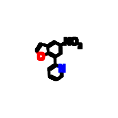 O=[N+]([O-])c1cc(-c2ccccn2)c2occc2c1